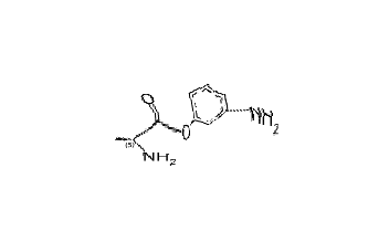 C[C@H](N)C(=O)Oc1cccc(N)c1